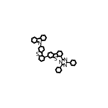 c1ccc(-c2nc(-c3ccccc3)nc(-c3cccc4c3sc3cc(-c5cccc6sc7cc(-n8c9ccccc9c9ccccc98)ccc7c56)ccc34)n2)cc1